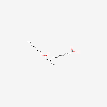 CCCCCCOC(=O)CC(CC)CCCCCCC(=O)O